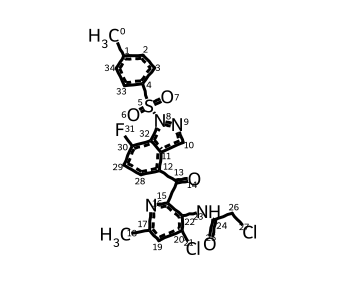 Cc1ccc(S(=O)(=O)n2ncc3c(C(=O)c4nc(C)cc(Cl)c4NC(=O)CCl)ccc(F)c32)cc1